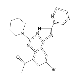 CC(=O)c1cc(Br)cc2c1nc(N1CCCCC1)n1nc(-c3cnccn3)nc21